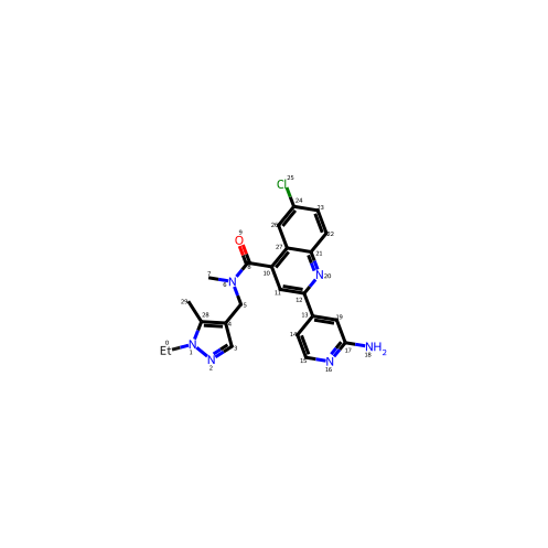 CCn1ncc(CN(C)C(=O)c2cc(-c3ccnc(N)c3)nc3ccc(Cl)cc23)c1C